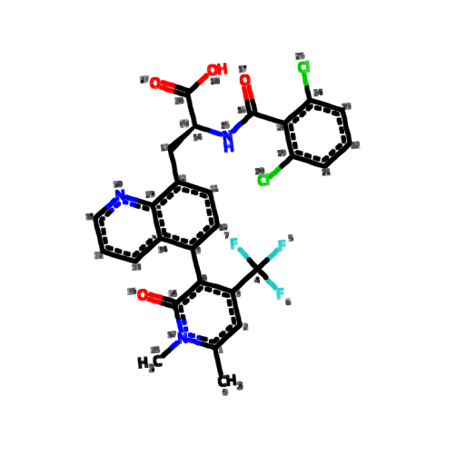 Cc1cc(C(F)(F)F)c(-c2ccc(C[C@H](NC(=O)c3c(Cl)cccc3Cl)C(=O)O)c3ncccc23)c(=O)n1C